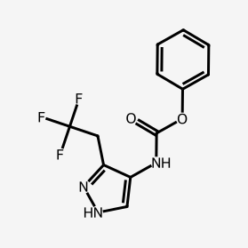 O=C(Nc1c[nH]nc1CC(F)(F)F)Oc1ccccc1